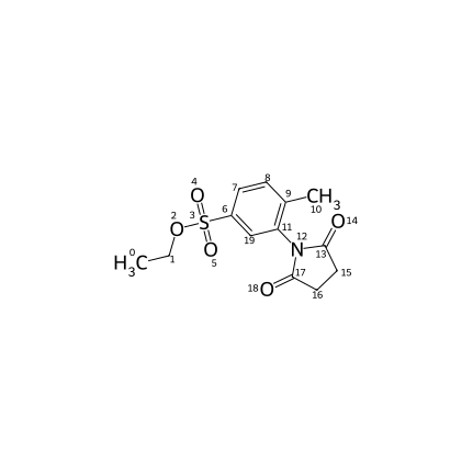 CCOS(=O)(=O)c1ccc(C)c(N2C(=O)CCC2=O)c1